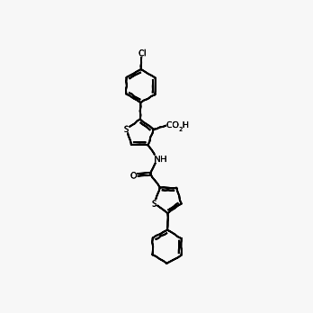 O=C(Nc1csc(-c2ccc(Cl)cc2)c1C(=O)O)c1ccc(C2=CCCC=C2)s1